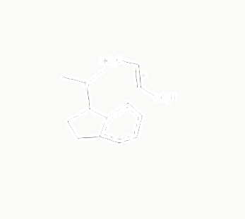 CN(C)C1CCc2ccccc21.O=C(O)/C=C/C(=O)O